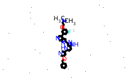 CN(C)CCOc1cc(F)cc(-c2cncc3[nH]c(-c4n[nH]c5ccc(-c6cncc(OCc7ccccc7)c6)nc45)cc23)c1